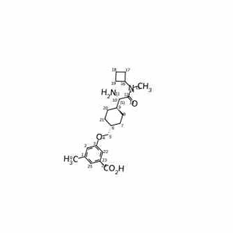 Cc1cc(OC[C@H]2CC[C@H]([C@H](N)C(=O)N(C)C3CCC3)CC2)cc(C(=O)O)c1